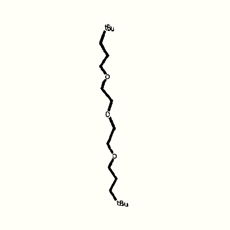 CC(C)(C)CCCOCCOCCOCCCC(C)(C)C